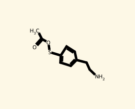 CC(=O)OSc1ccc(CCN)cc1